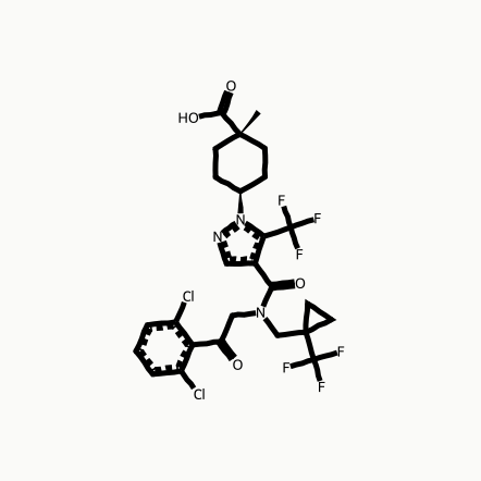 C[C@]1(C(=O)O)CC[C@H](n2ncc(C(=O)N(CC(=O)c3c(Cl)cccc3Cl)CC3(C(F)(F)F)CC3)c2C(F)(F)F)CC1